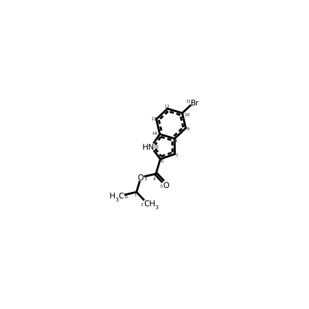 CC(C)OC(=O)c1cc2cc(Br)ccc2[nH]1